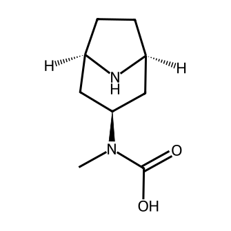 CN(C(=O)O)[C@H]1C[C@H]2CC[C@@H](C1)N2